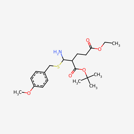 CCOC(=O)CCC(C(=O)OC(C)(C)C)C(N)SCc1ccc(OC)cc1